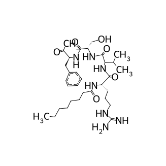 CCCCCCCC(=O)N[C@@H](CCCNC(=N)N)C(=O)NC(C(=O)N[C@@H](CO)C(=O)N[C@@H](Cc1ccccc1)C(C)=O)C(C)C